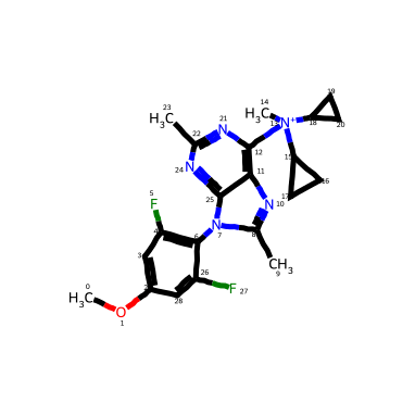 COc1cc(F)c(-n2c(C)nc3c([N+](C)(C4CC4)C4CC4)nc(C)nc32)c(F)c1